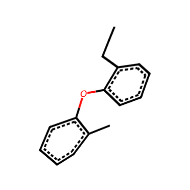 CCc1ccccc1Oc1ccccc1C